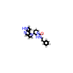 C[C@@H]1CCN(C(=O)NCCc2ccccc2)C[C@@H]1n1ccc2cnc3[nH]ccc3c21